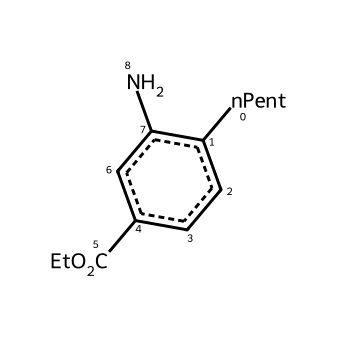 CCCCCc1ccc(C(=O)OCC)cc1N